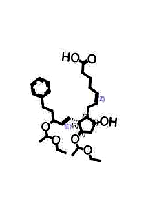 CCOC(C)OC(/C=C/[C@@H]1[C@@H](C/C=C\CCCC(=O)O)[C@@H](O)C[C@H]1OC(C)OCC)CCc1ccccc1